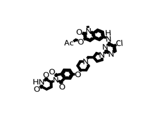 CC(=O)COc1cc2cc(Nc3nc(N4CCC(CN5CCC(Oc6ccc7c(c6)C(=O)N(C6CCC(=O)NC6=O)C7=O)CC5)C4)ncc3Cl)ccc2n(C)c1=O